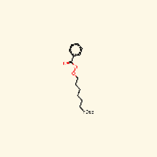 CCCCCCCCCCCCCCCCOOC(=O)c1ccccc1